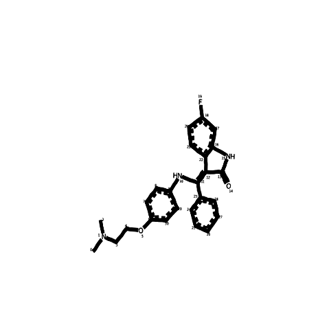 CN(C)CCOc1ccc(NC(=C2C(=O)Nc3cc(F)ccc32)c2ccccc2)cc1